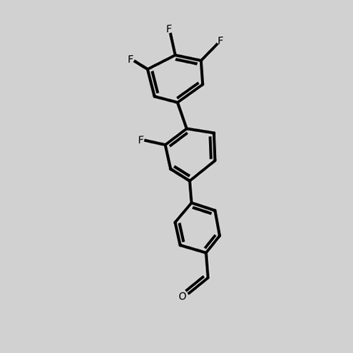 O=Cc1ccc(-c2ccc(-c3cc(F)c(F)c(F)c3)c(F)c2)cc1